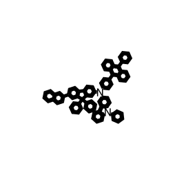 c1ccc(-c2c3ccccc3c(-c3ccc(N(c4ccc5c(c4)C(c4ccccc4)(c4ccccc4)c4cc(-c6ccc7ccccc7c6)ccc4-5)c4ccc5c(c4)c4ccccc4n5-c4ccccc4)cc3)c3ccccc23)cc1